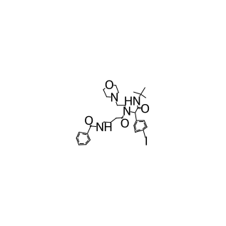 CC(C)(C)NC(=O)C(c1ccc(I)cc1)N(CCN1CCOCC1)C(=O)CCCNC(=O)c1ccccc1